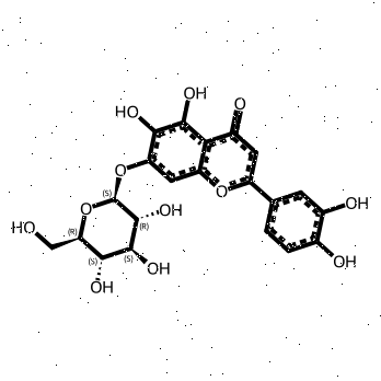 O=c1cc(-c2ccc(O)c(O)c2)oc2cc(O[C@@H]3O[C@H](CO)[C@@H](O)[C@H](O)[C@H]3O)c(O)c(O)c12